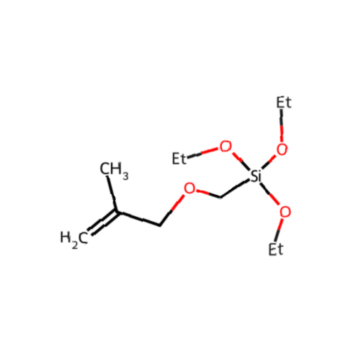 C=C(C)COC[Si](OCC)(OCC)OCC